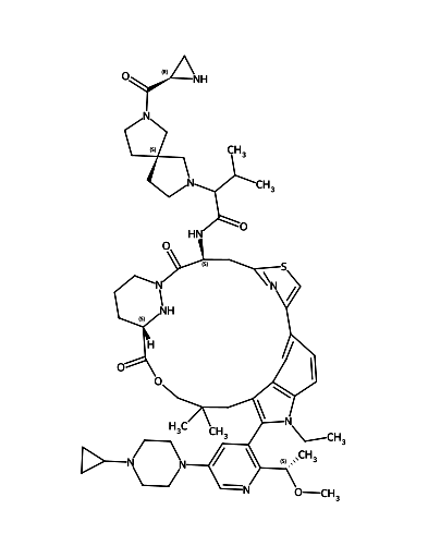 CCn1c(-c2cc(N3CCN(C4CC4)CC3)cnc2[C@H](C)OC)c2c3cc(ccc31)-c1csc(n1)C[C@H](NC(=O)C(C(C)C)N1CC[C@]3(CCN(C(=O)[C@H]4CN4)C3)C1)C(=O)N1CCC[C@H](N1)C(=O)OCC(C)(C)C2